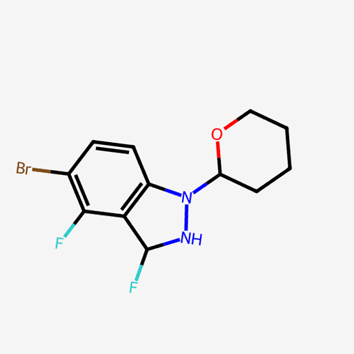 Fc1c(Br)ccc2c1C(F)NN2C1CCCCO1